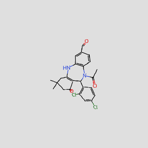 CC(=O)N1c2ccc(C=O)cc2NC2=C(C(=O)CC(C)(C)C2)C1c1ccc(Cl)cc1Cl